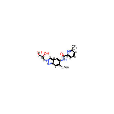 COc1cc2nn(C[C@H](O)CO)cc2cc1NC(=O)c1cccc(C(F)(F)F)n1